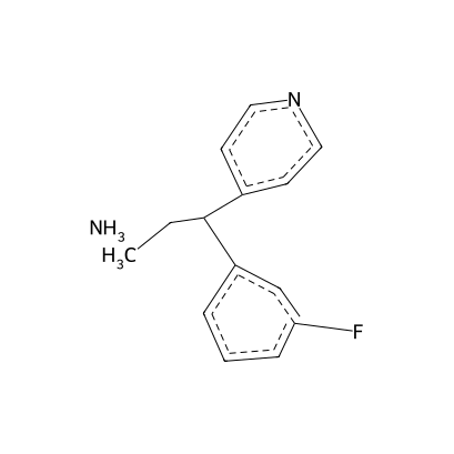 CCC(c1ccncc1)c1cccc(F)c1.N